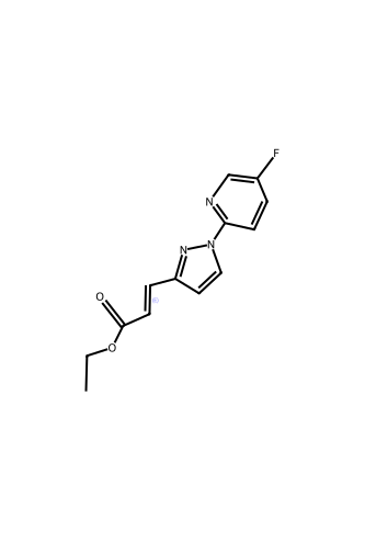 CCOC(=O)/C=C/c1ccn(-c2ccc(F)cn2)n1